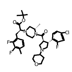 Cc1ccc(C[C@@H](C(=O)OC(C)(C)C)N2CCN(C(=O)[C@@H]3CN(C4CCOCC4)C[C@H]3c3ccc(Cl)cc3F)[C@@H](C)C2)c(F)c1F